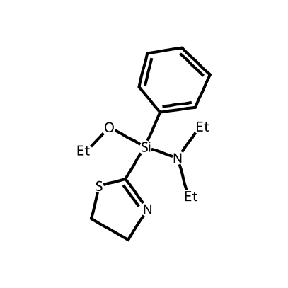 CCO[Si](C1=NCCS1)(c1ccccc1)N(CC)CC